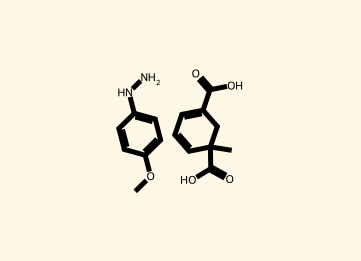 CC1(C(=O)O)C=CC=C(C(=O)O)C1.COc1ccc(NN)cc1